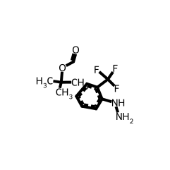 CC(C)(C)OC=O.NNc1ccccc1C(F)(F)F